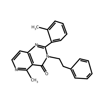 Cc1ccccc1-c1nc2ccnc(C)c2c(=O)n1CCc1ccccc1